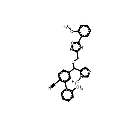 COc1ccccc1-c1nc(COC(c2ccc(C#N)c(-c3ccccc3C)c2)c2cncn2C)no1